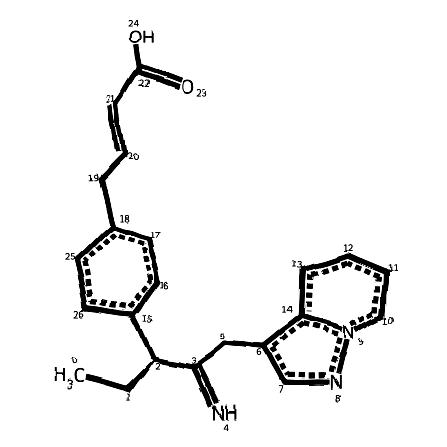 CC[C@H](C(=N)Cc1cnn2ccccc12)c1ccc(C/C=C/C(=O)O)cc1